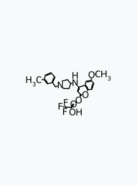 COc1ccc2oc(=O)cc(NC3CCN(Cc4cccc(C)c4)CC3)c2c1.O=C(O)C(F)(F)F